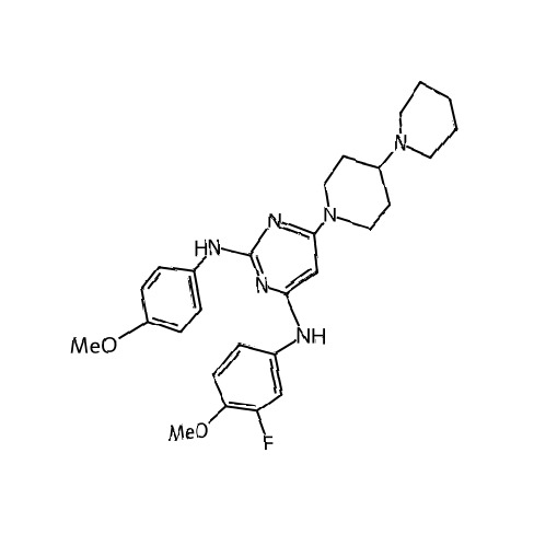 COc1ccc(Nc2nc(Nc3ccc(OC)c(F)c3)cc(N3CCC(N4CCCCC4)CC3)n2)cc1